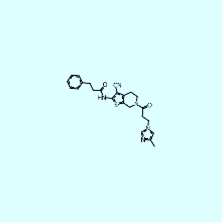 Cc1cn(CCC(=O)N2CCc3c(sc(NC(=O)CCc4ccccc4)c3C#N)C2)cn1